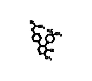 CCc1c(C)ncc(-c2ccc(OC(C)C(C)C)cc2)c1N1CCC(C)(C)CC1